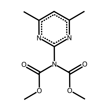 COC(=O)N(C(=O)OC)c1nc(C)cc(C)n1